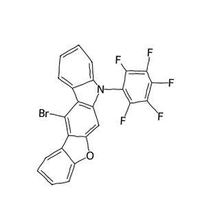 Fc1c(F)c(F)c(-n2c3ccccc3c3c(Br)c4c(cc32)oc2ccccc24)c(F)c1F